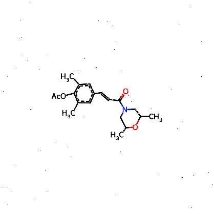 CC(=O)Oc1c(C)cc(/C=C/C(=O)N2CC(C)OC(C)C2)cc1C